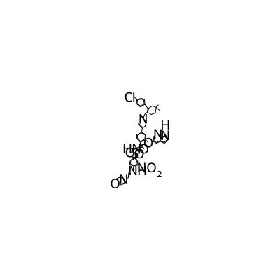 CC1(C)CCC(CN2CC=C(c3ccc(C(=O)NS(=O)(=O)c4ccc(NCCN5CCOCC5)c([N+](=O)[O-])c4)c(Oc4cnc5[nH]ccc5c4)c3)CC2)=C(c2ccc(Cl)cc2)C1